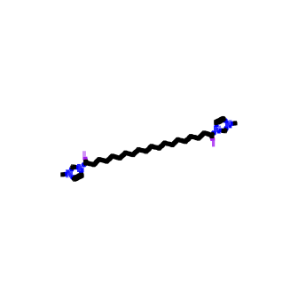 CN1C=CN(C(I)CCCCCCCCCCCCCCCCCCC(I)N2C=CN(C)C2)C1